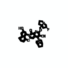 N#Cc1c(OC[C@@]23CCCN2C[C@H](F)C3)nc2c(=O)n(-c3cc(O)cc4cccc(Cl)c34)ccc2c1N1CC2CCC(C1)N2